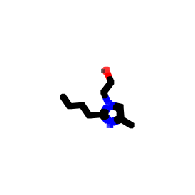 CCCCc1nc(C)cn1CC[O]